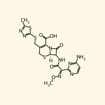 CO/N=C(\C(=O)NC1C(=O)N2C(C(=O)O)=C(CSc3nnc(C)s3)CS[C@H]12)c1nccc(N)n1